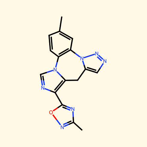 Cc1ccc2c(c1)-n1nncc1Cc1c(-c3nc(C)no3)ncn1-2